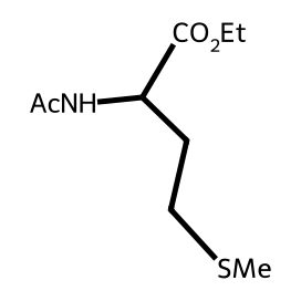 CCOC(=O)C(CCSC)NC(C)=O